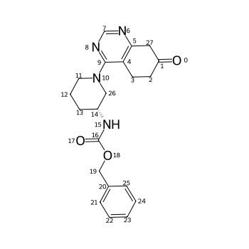 O=C1CCc2c(ncnc2N2CCC[C@@H](NC(=O)OCc3ccccc3)C2)C1